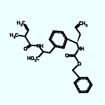 C=CC[C@H](NC(=O)OCc1ccccc1)c1cccc(CC(NC(=O)C(C)C=C)C(=O)O)c1